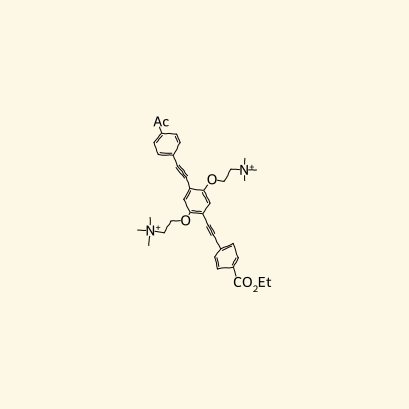 CCOC(=O)c1ccc(C#Cc2cc(OCC[N+](C)(C)C)c(C#Cc3ccc(C(C)=O)cc3)cc2OCC[N+](C)(C)C)cc1